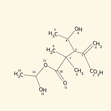 C=C(C(=O)O)C(C(C)O)C(C)(C)C(=O)OC(C)O